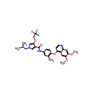 COc1cc2nccc(Oc3ccc(NC(=O)c4cn(CC(C)C)cc4OCC(F)(F)F)cc3C)c2cc1OC